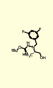 CC(C)(C)OC(=O)NN(Cc1cc(F)cc(F)c1)[C@H](CO)C(=O)O